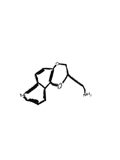 NCC1COc2ccc3ncccc3c2O1